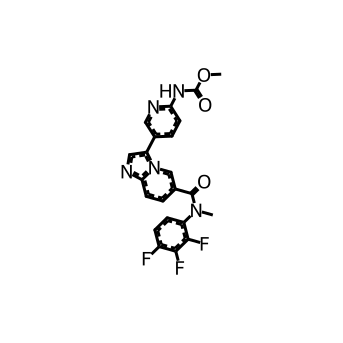 COC(=O)Nc1ccc(-c2cnc3ccc(C(=O)N(C)c4ccc(F)c(F)c4F)cn23)cn1